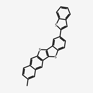 Cc1ccc2cc3sc4c5cc(-c6cc7ccccc7s6)ccc5sc4c3cc2c1